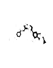 C[C@@H](C1CC1)N1Cc2cc(-c3ccn4nc(N)c(C(=O)NC5CCC(N)CC5)c4n3)cc(OC(F)(F)F)c2C1=O